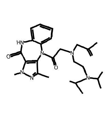 C=C(C)CN(CCN(C(C)C)C(C)C)CC(=O)N1c2ccccc2NC(=O)c2c1c(C)nn2C